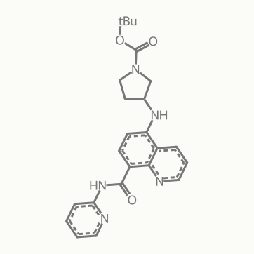 CC(C)(C)OC(=O)N1CCC(Nc2ccc(C(=O)Nc3ccccn3)c3ncccc23)C1